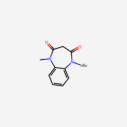 CCCCN1C(=O)CC(=O)N(C)c2ccccc21